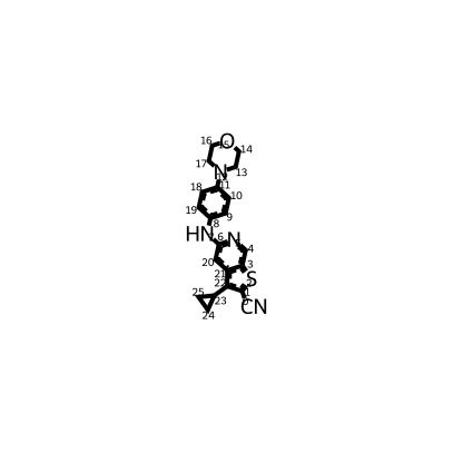 N#Cc1sc2cnc(Nc3ccc(N4CCOCC4)cc3)cc2c1C1CC1